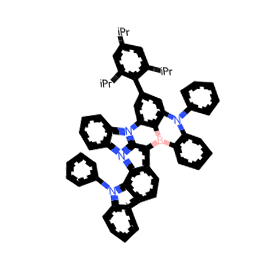 CC(C)c1cc(C(C)C)c(-c2cc3c4c(c2)-n2c5ccccc5n5c6c(ccc7c8ccccc8n(-c8ccccc8)c76)c(c25)B4c2ccccc2N3c2ccccc2)c(C(C)C)c1